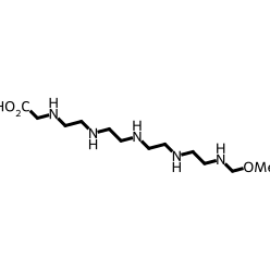 COCNCCNCCNCCNCCNCC(=O)O